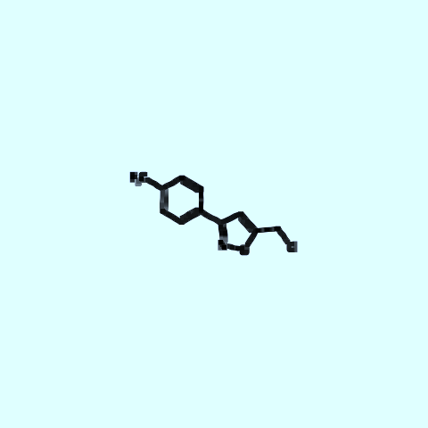 FC(F)(F)c1ccc(-c2cc(CCl)on2)cc1